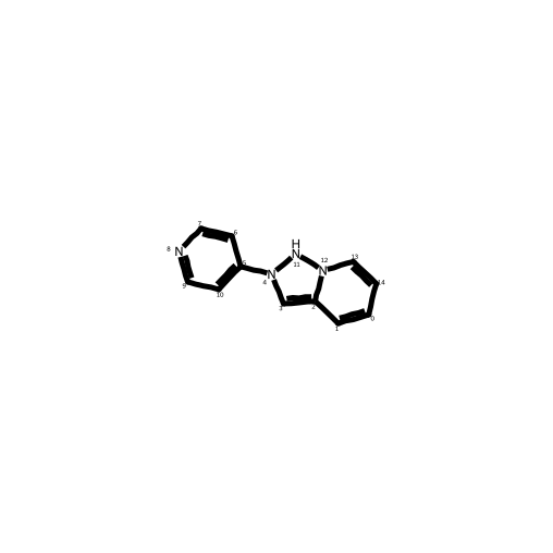 C1=CC2=CN(c3ccncc3)NN2C=C1